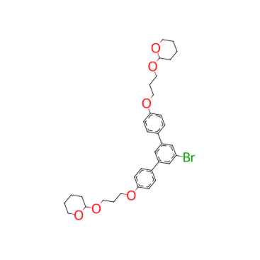 Brc1cc(-c2ccc(OCCCOC3CCCCO3)cc2)cc(-c2ccc(OCCCOC3CCCCO3)cc2)c1